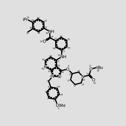 COc1ccc(Cn2nc(OC3CCCN(C(=O)OC(C)(C)C)C3)c3c(Nc4cccc(C(=O)Nc5ccc(C(C)C)c(C)c5)c4)ccnc32)cc1